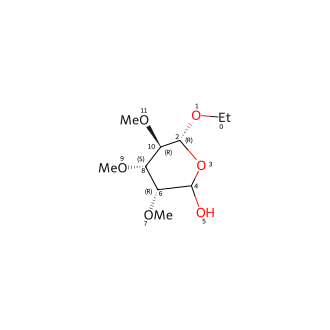 CCO[C@@H]1OC(O)[C@H](OC)[C@H](OC)[C@H]1OC